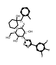 Cc1ccccc1[C@H](S[C@@H]1O[C@H](CO)[C@H](O)[C@H](n2cc(-c3cc(F)c(F)c(F)c3)nn2)[C@H]1O)C1(O)CCCCC1